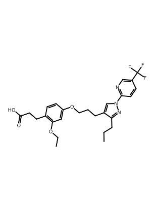 CCCc1nn(-c2ccc(C(F)(F)F)cn2)cc1CCCOc1ccc(CCC(=O)O)c(OCC)c1